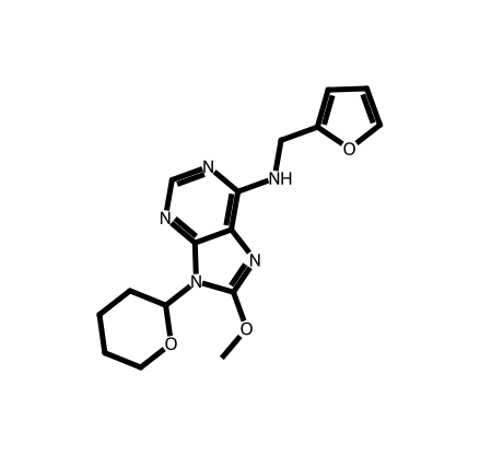 COc1nc2c(NCc3ccco3)ncnc2n1C1CCCCO1